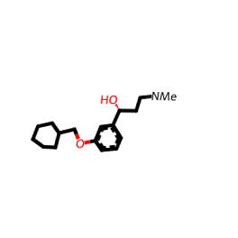 CNCC[C@@H](O)c1cccc(OCC2CCCCC2)c1